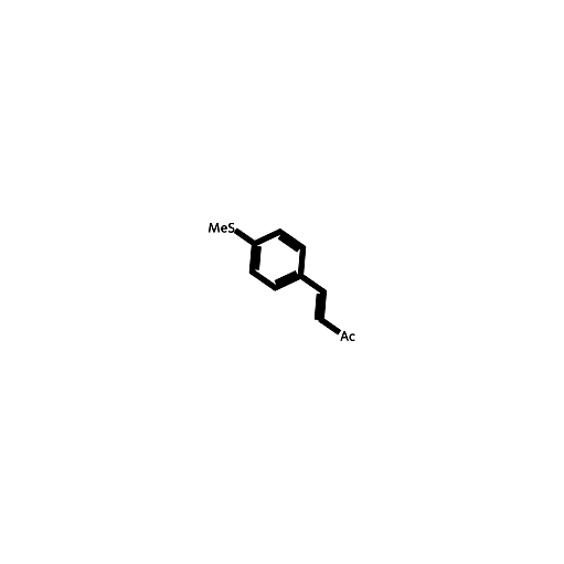 CSc1ccc(/C=C/C(C)=O)cc1